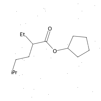 CCC(CCC(C)C)C(=O)OC1CCCC1